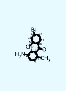 Cc1ccc(N)cc1C(=O)c1ccc(Br)cc1Cl